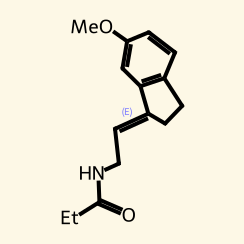 CCC(=O)NC/C=C1\CCc2ccc(OC)cc21